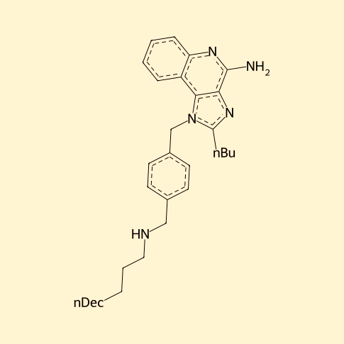 CCCCCCCCCCCCCNCc1ccc(Cn2c(CCCC)nc3c(N)nc4ccccc4c32)cc1